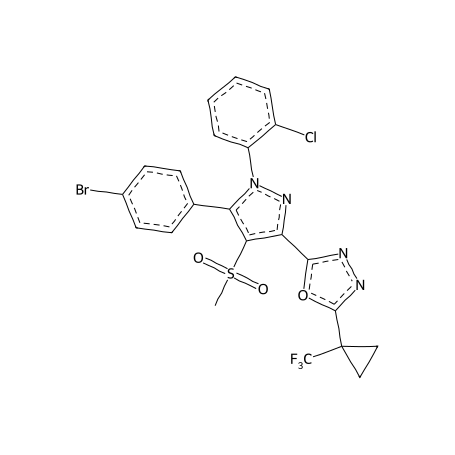 CS(=O)(=O)c1c(-c2nnc(C3(C(F)(F)F)CC3)o2)nn(-c2ccccc2Cl)c1-c1ccc(Br)cc1